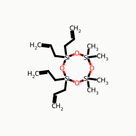 C=CC[Si]1(CC=C)O[Si](C)(C)O[Si](C)(C)O[Si](CC=C)(CC=C)O1